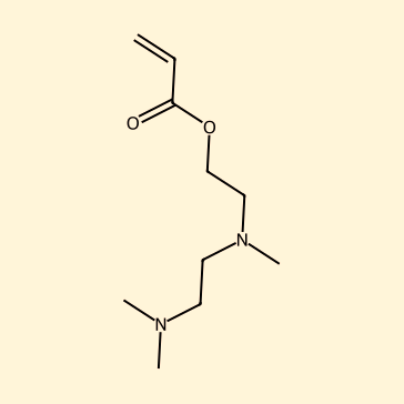 C=CC(=O)OCCN(C)CCN(C)C